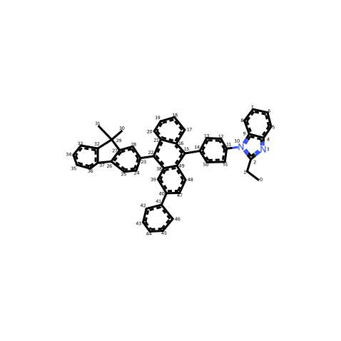 CCc1nc2ccccc2n1-c1ccc(-c2c3ccccc3c(-c3ccc4c(c3)C(C)(C)c3ccccc3-4)c3cc(-c4ccccc4)ccc23)cc1